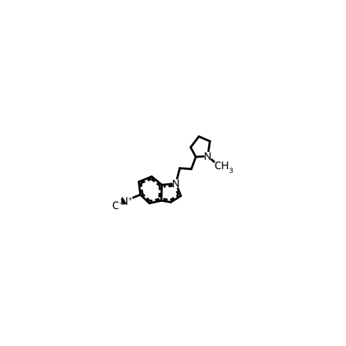 [C-]#[N+]c1ccc2c(ccn2CCC2CCCN2C)c1